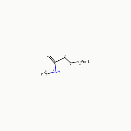 C=C(CCCCCCC)NCCC